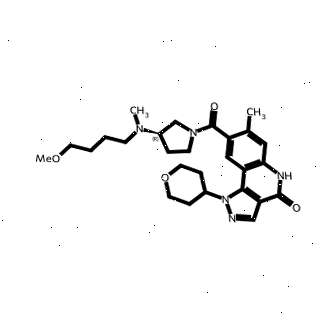 COCCCCN(C)[C@@H]1CCN(C(=O)c2cc3c(cc2C)[nH]c(=O)c2cnn(C4CCOCC4)c23)C1